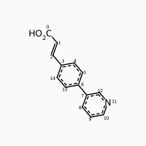 O=C(O)C=Cc1ccc(-c2cccnc2)cc1